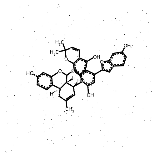 CC1=C[C@H]2c3c(O)cc(-c4cc5ccc(O)cc5o4)cc3O[C@]3(c4ccc(O)c5c4OC(C)(C)C=C5)Oc4cc(O)ccc4[C@H](C1)[C@@H]23